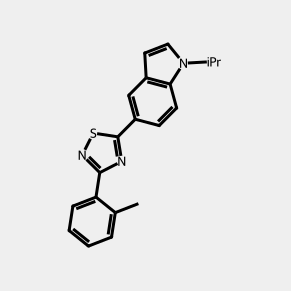 Cc1ccccc1-c1nsc(-c2ccc3c(ccn3C(C)C)c2)n1